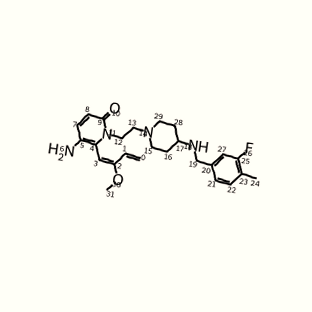 C=C/C(=C\c1c(N)ccc(=O)n1CCN1CCC(NCc2ccc(C)c(F)c2)CC1)OC